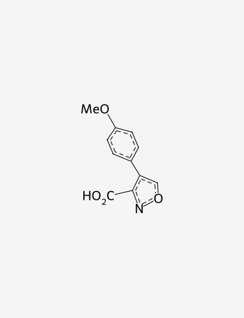 COc1ccc(-c2conc2C(=O)O)cc1